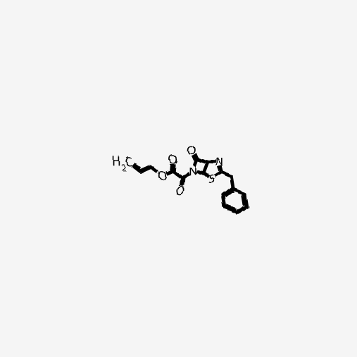 C=CCOC(=O)C(=O)N1C(=O)C2N=C(Cc3ccccc3)SC21